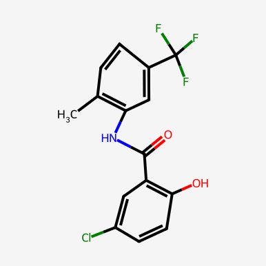 Cc1ccc(C(F)(F)F)cc1NC(=O)c1cc(Cl)ccc1O